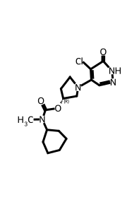 CN(C(=O)O[C@@H]1CCN(c2cn[nH]c(=O)c2Cl)C1)C1CCCCC1